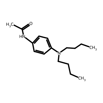 CCCCN(CCCC)c1ccc(NC(C)=O)cc1